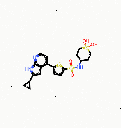 O=S(=O)(NC1CCS(O)(O)CC1)c1ccc(-c2ccnc3[nH]c(C4CC4)cc23)s1